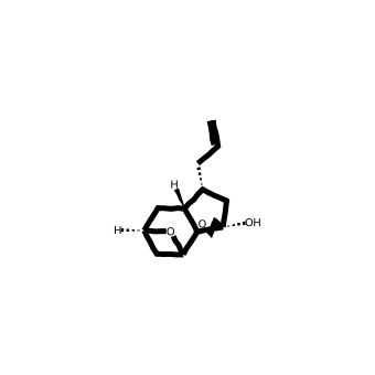 C=CC[C@@H]1C[C@]2(O)CCO[C@@]23C2C[C@@H](C[C@H]13)O2